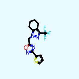 FC(F)(F)c1nn(Cc2nc(-c3cccs3)no2)c2c1CCCC2